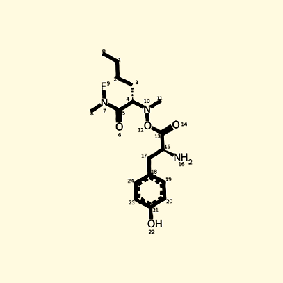 CCCC[C@@H](C(=O)N(C)F)N(C)OC(=O)[C@@H](N)Cc1ccc(O)cc1